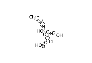 O=C(O)COc1cc(OC[C@H](O)CN2CCC3(CC2)Cc2cc(Cl)ccc2O3)c(C(=O)N2CC[C@H](O)C2)cc1Cl